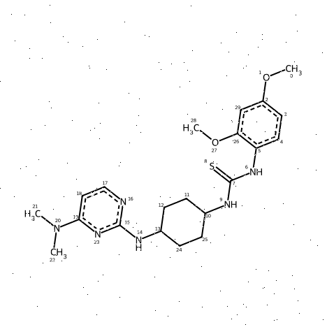 COc1ccc(NC(=S)NC2CCC(Nc3nccc(N(C)C)n3)CC2)c(OC)c1